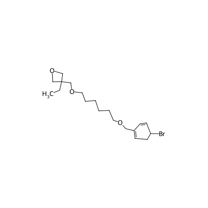 CCC1(COCCCCCCOCC2=CCC(Br)C=C2)COC1